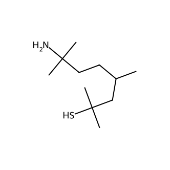 CC(CCC(C)(C)N)CC(C)(C)S